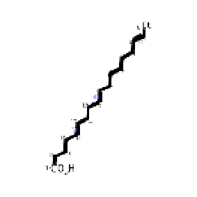 CC/C=C/CC/C=C/C/C=C/CC/C=C/CCCC(=O)O